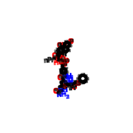 CCCC1O[C@@H]2C[C@H]3[C@@H]4CCC5=CC(=O)C=C[C@]5(C)[C@H]4[C@@H](O)C[C@]3(C)[C@]2(C(=O)COP(=O)(O)OCc2ccc(NC(=O)C(CCCNC(N)=O)NC(=O)[C@@H](NC(=O)COC3C#CCCCCC3)C(C)C)cc2)O1